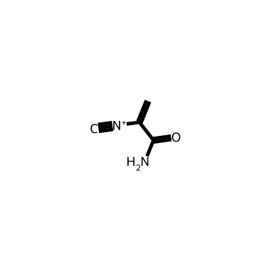 [C-]#[N+]C(=C)C(N)=O